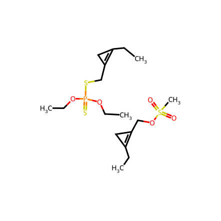 CCC1=C(COS(C)(=O)=O)C1.CCOP(=S)(OCC)SCC1=C(CC)C1